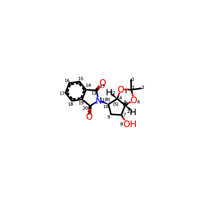 CC1(C)O[C@@H]2[C@H](O1)C(O)C[C@H]2N1C(=O)c2ccccc2C1=O